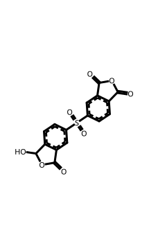 O=C1OC(=O)c2cc(S(=O)(=O)c3ccc4c(c3)C(=O)OC4O)ccc21